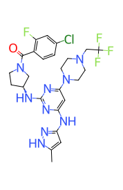 Cc1cc(Nc2cc(N3CCN(CC(F)(F)F)CC3)nc(N[C@H]3CCN(C(=O)c4ccc(Cl)cc4F)C3)n2)n[nH]1